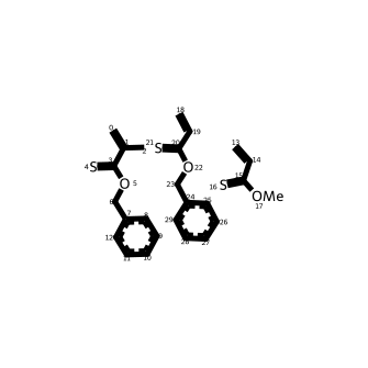 C=C(C)C(=S)OCc1ccccc1.C=CC(=S)OC.C=CC(=S)OCc1ccccc1